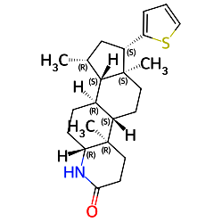 C[C@@H]1C[C@H](c2cccs2)[C@@]2(C)CC[C@H]3[C@@H](CC[C@H]4NC(=O)CC[C@@]43C)[C@H]12